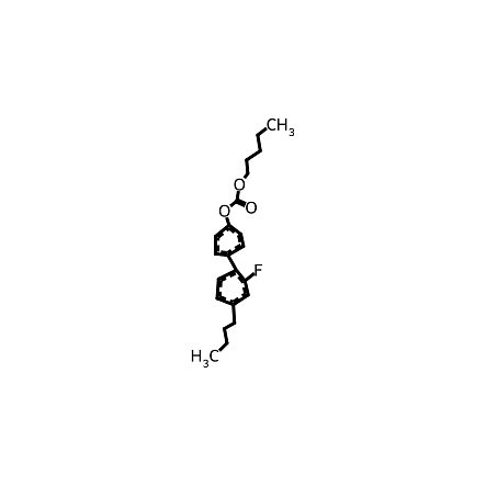 CCCCCOC(=O)Oc1ccc(-c2ccc(CCCC)cc2F)cc1